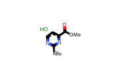 CCCCc1nccc(C(=O)OC)n1.Cl